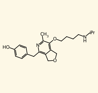 Cc1nc(Cc2ccc(O)cc2)c2c(c1OCCCCNC(C)C)COC2